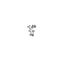 [Co].[Co].[Ni].[Ni]